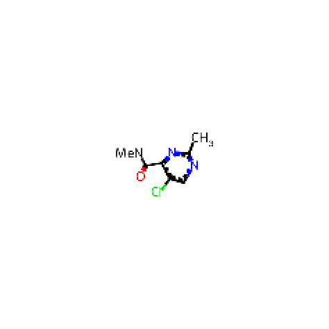 CNC(=O)c1nc(C)ncc1Cl